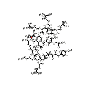 CC(C)(NC(=O)[C@@H](N)Cc1ccc(O)cc1)C(=O)N[C@@H](CCCNC(=N)N)C(=O)N[C@@H](CCCCN)C(=O)N[C@@H](CCCCN)C(=O)N[C@@H](CCCNC(=N)N)C(=O)N[C@@H](CCCNC(=N)N)C(=O)N[C@@H](CCC(N)=O)C(=O)N[C@@H](CCCNC(=N)N)C(=O)N[C@@H](CCCNC(=N)N)C(=O)N[C@@H](CCCNC(=N)N)C(N)=O